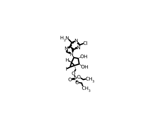 CCOP(=O)(OCC)OC[C@]12C(I)[C@@H]1[C@@H](n1cnc3c(N)nc(Cl)nc31)[C@H](O)[C@@H]2O